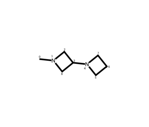 CN1CC(N2C[CH]C2)C1